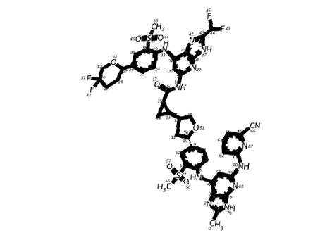 Cc1nc2c(Nc3ccc([C@@H]4CC(C5CC5C(=O)Nc5cc(Nc6ccc(C7CCC(F)(F)CO7)cc6S(C)(=O)=O)c6nc(C(F)F)[nH]c6n5)CO4)cc3S(C)(=O)=O)cc(Nc3cccc(C#N)n3)nc2[nH]1